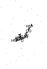 CC(C)NCCC(=O)OCCn1cc(CNC(=O)C(Cc2c[nH]cn2)NC(=O)C(C)C)nn1